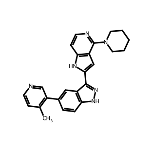 Cc1ccncc1-c1ccc2[nH]nc(-c3cc4c(N5CCCCC5)nccc4[nH]3)c2c1